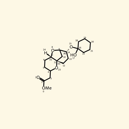 COC(=O)CC1CC[C@@H]2OC3C[C@]2(CC[C@H]3OC2(O)CCCCC2)O1